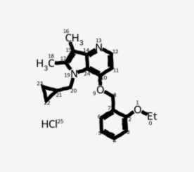 CCOc1ccccc1COc1ccnc2c(C)c(C)n(CC3CC3)c12.Cl